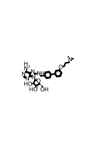 CN(C)CCCOc1cccc(-c2ccc(CNc3nc4c(N)ncnc4n3[C@@H]3O[C@H](CO)[C@@H](O)[C@H]3O)cc2)c1